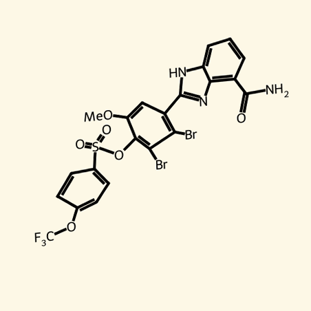 COc1cc(-c2nc3c(C(N)=O)cccc3[nH]2)c(Br)c(Br)c1OS(=O)(=O)c1ccc(OC(F)(F)F)cc1